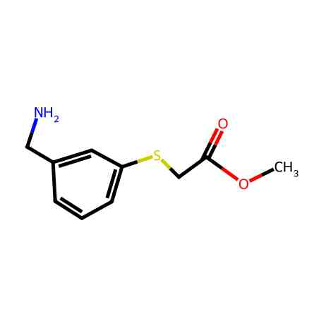 COC(=O)CSc1cccc(CN)c1